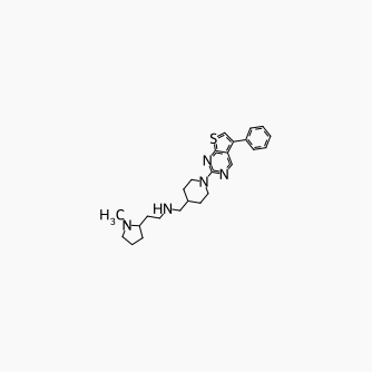 CN1CCCC1CCNCC1CCN(c2ncc3c(-c4ccccc4)csc3n2)CC1